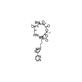 B[C@@H]1[C@@H](C)C(=O)[C@@H](C)C(=O)O[C@H](CC)[C@@]2(C)OC(=O)N(CCCCn3cc(-c4cccnn4)nn3)[C@@H]2[C@@H](C)NC[C@H](C)C[C@@]1(C)OC